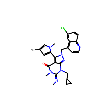 C/N=c1\n(C)c(=O)c2c(-c3cc(C#N)cn3C)n(Cc3ccnc4ccc(Cl)cc34)nc2n1CC1CC1